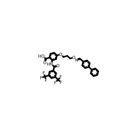 O=C(Nc1cc(OCCCON=Cc2ccc(-c3ccccc3)cc2)ccc1C(=O)O)c1cc(C(F)(F)F)cc(C(F)(F)F)c1